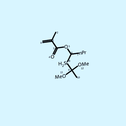 C=C(C)C(=O)OC(CCC)[SiH2]C(C)(OC)OC